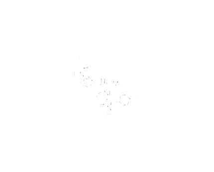 CON=C(C(=O)N[C@@H]1C(=O)N[C@@H]1c1ccc(Cl)cc1)c1csc(NC(=O)CCl)n1